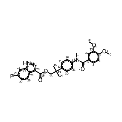 COc1ccc(C(=O)Nc2ccc(C(C)(C)COC(=O)c3n[nH]c4cc(F)ccc34)cc2)cc1OC